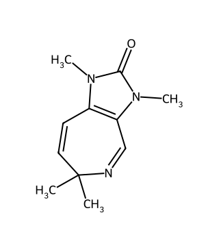 Cn1c2c(n(C)c1=O)C=NC(C)(C)C=C2